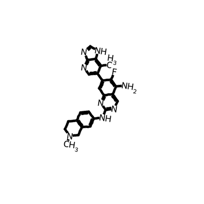 Cc1c(-c2cc3nc(Nc4ccc5c(c4)CN(C)CC5)ncc3c(N)c2F)cnc2nc[nH]c12